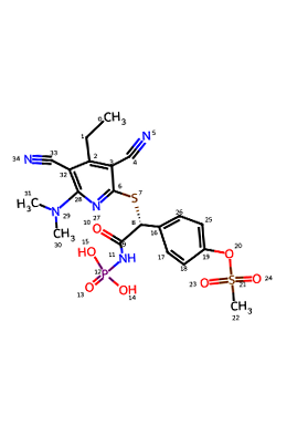 CCc1c(C#N)c(S[C@@H](C(=O)NP(=O)(O)O)c2ccc(OS(C)(=O)=O)cc2)nc(N(C)C)c1C#N